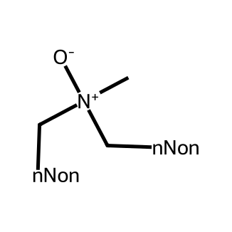 CCCCCCCCCC[N+](C)([O-])CCCCCCCCCC